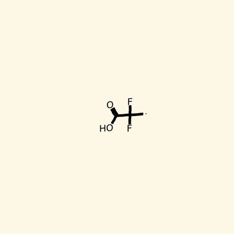 [CH2]C(F)(F)C(=O)O